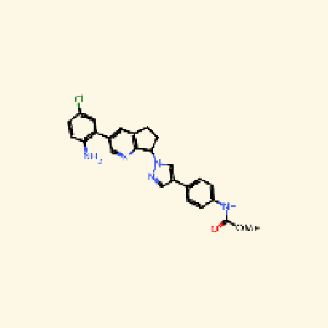 COC(=O)Nc1ccc(-c2cnn(C3CCc4cc(-c5cc(Cl)ccc5N)cnc43)c2)cc1